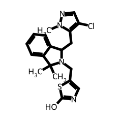 Cn1ncc(Cl)c1CC1c2ccccc2C(C)(C)N1Cc1cnc(O)s1